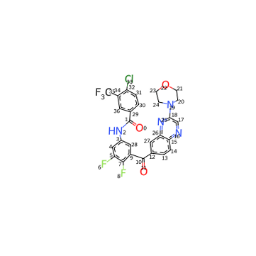 O=C(Nc1cc(F)c(F)c(C(=O)c2ccc3ncc(N4CCOCC4)nc3c2)c1)c1ccc(Cl)c(C(F)(F)F)c1